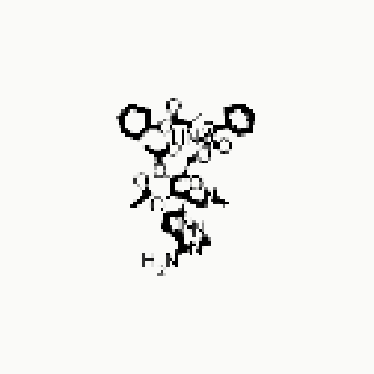 C/N=C/[C@@]1(c2ccc3c(N)ncnn23)O[C@H](COP(=O)(N[C@@H](C)C(=O)OC2CCCCC2)Oc2ccccc2)[C@@H](OC(C)=O)[C@H]1OC(C)=O